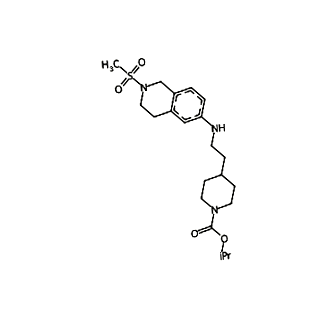 CC(C)OC(=O)N1CCC(CCNc2ccc3c(c2)CCN(S(C)(=O)=O)C3)CC1